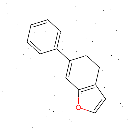 C1=C(c2ccccc2)CCc2ccoc21